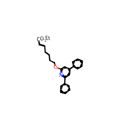 CCOC(=O)CCCCCCOc1cc(-c2ccccc2)cc(-c2ccccc2)n1